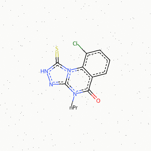 CCCn1c(=O)c2cccc(Cl)c2n2c(=S)[nH]nc12